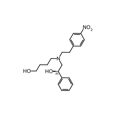 O=[N+]([O-])c1ccc(CCN(CCCCO)C[C@H](O)c2ccccc2)cc1